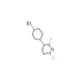 CCc1ccc(-c2ccc(F)nc2F)cc1